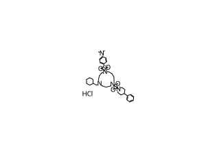 CN(C)c1ccc(S(=O)(=O)N2CCCCN(S(=O)(=O)N3CCC(c4ccccc4)CC3)CCCN(CC3CCCCC3)CCC2)cc1.Cl